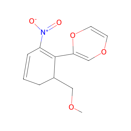 COCC1CC=CC([N+](=O)[O-])=C1C1=COC=CO1